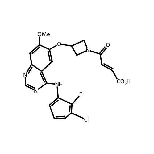 COc1cc2ncnc(Nc3cccc(Cl)c3F)c2cc1OC1CN(C(=O)C=CC(=O)O)C1